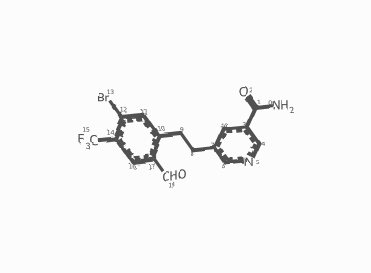 NC(=O)c1cncc(CCc2cc(Br)c(C(F)(F)F)cc2C=O)c1